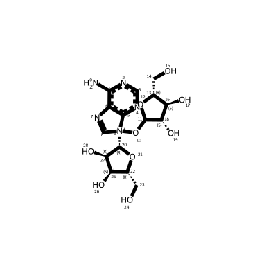 Nc1ncnc2c1N=C[N+]2(OC1O[C@H](CO)[C@@H](O)[C@@H]1O)[C@@H]1O[C@H](CO)[C@@H](O)[C@H]1O